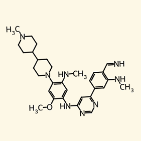 CNc1cc(-c2cc(Nc3cc(NC)c(N4CCC(C5CCN(C)CC5)CC4)cc3OC)ncn2)ccc1C=N